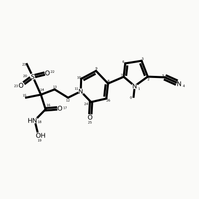 Cn1c(C#N)ccc1-c1ccn(CCC(C)(C(=O)NO)S(C)(=O)=O)c(=O)c1